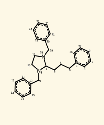 c1ccc(CCCC2N(Cc3ccccc3)CCN2Cc2ccccc2)cc1